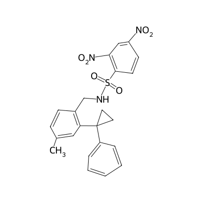 Cc1ccc(CNS(=O)(=O)c2ccc([N+](=O)[O-])cc2[N+](=O)[O-])c(C2(c3ccccc3)CC2)c1